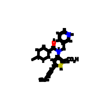 CC1CCC(C(=O)N(Cc2cccnc2)c2cc(C#CC(C)(C)C)sc2C(=O)O)CC1